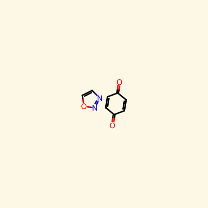 O=C1C=CC(=O)C=C1.c1conn1